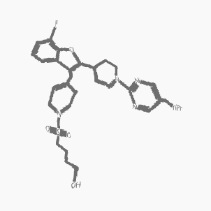 CCCc1cnc(N2CCC(C3Oc4c(F)cccc4C3C3=CCN(S(=O)(=O)CCCCO)CC3)CC2)nc1